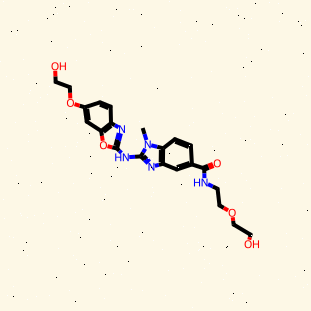 Cn1c(Nc2nc3ccc(OCCO)cc3o2)nc2cc(C(=O)NCCOCCO)ccc21